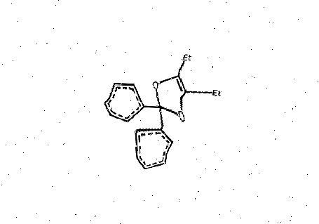 CCC1=C(CC)OC(c2ccccc2)(c2ccccc2)O1